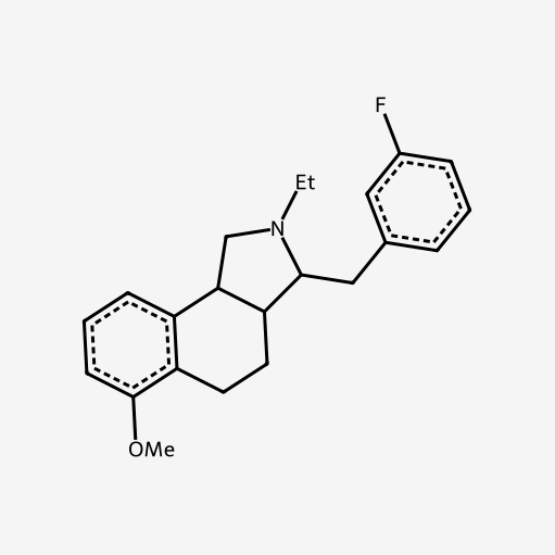 CCN1CC2c3cccc(OC)c3CCC2C1Cc1cccc(F)c1